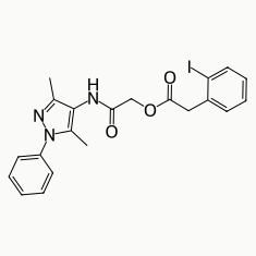 Cc1nn(-c2ccccc2)c(C)c1NC(=O)COC(=O)Cc1ccccc1I